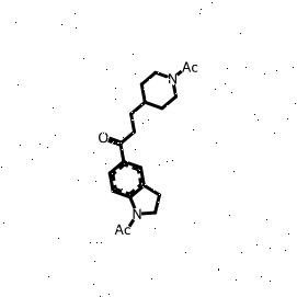 CC(=O)N1CCC(CCC(=O)c2ccc3c(c2)CCN3C(C)=O)CC1